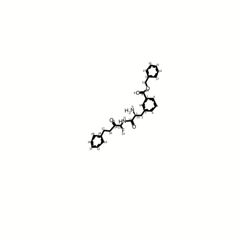 N[C@@H](Cc1cccc(C(=O)OCc2ccccc2)c1)C(=O)NC(F)C(=O)CCc1ccccc1